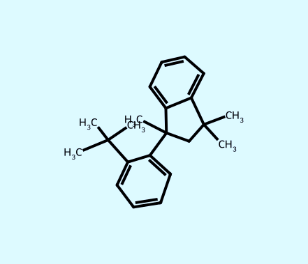 CC(C)(C)c1ccccc1C1(C)CC(C)(C)c2ccccc21